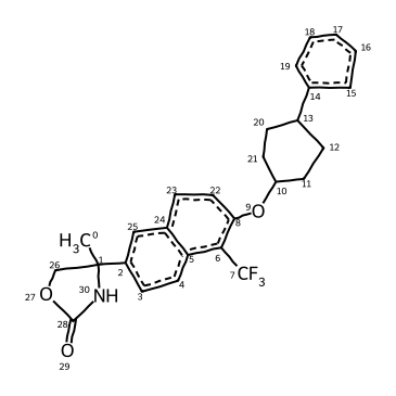 CC1(c2ccc3c(C(F)(F)F)c(OC4CCC(c5ccccc5)CC4)ccc3c2)COC(=O)N1